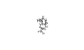 CC(C)NC1CCN(C(C)C)CCC1F